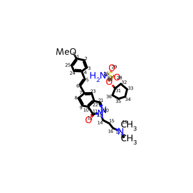 COc1ccc(C=Cc2ccc3c(=O)n(CCCN(C)C)ncc3c2)cc1.NS(=O)(=O)OC1CCCCC1